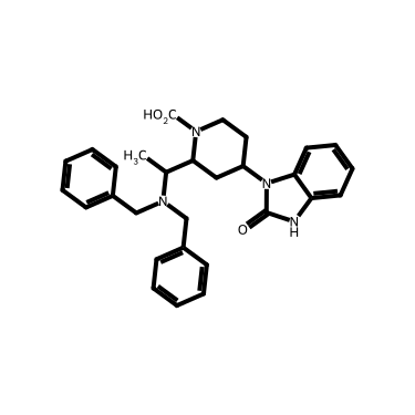 CC(C1CC(n2c(=O)[nH]c3ccccc32)CCN1C(=O)O)N(Cc1ccccc1)Cc1ccccc1